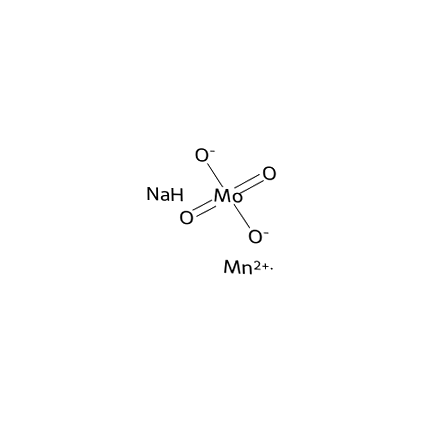 [Mn+2].[NaH].[O]=[Mo](=[O])([O-])[O-]